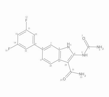 NC(=O)Nc1[nH]c2cc(-c3cc(F)cc(F)c3)ccc2c1C(N)=O